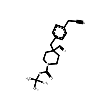 CC(C)(C)OC(=O)N1CCC(C=O)(Cc2ccc(CC#N)cc2)CC1